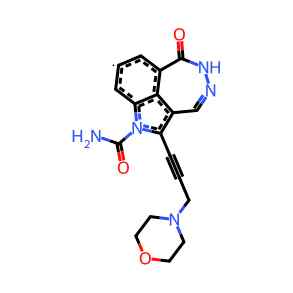 NC(=O)n1c(C#CCN2CCOCC2)c2c3c(c[c]cc31)C(=O)NN=C2